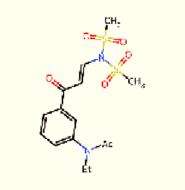 CCN(C(C)=O)c1cccc(C(=O)/C=C/N(S(C)(=O)=O)S(C)(=O)=O)c1